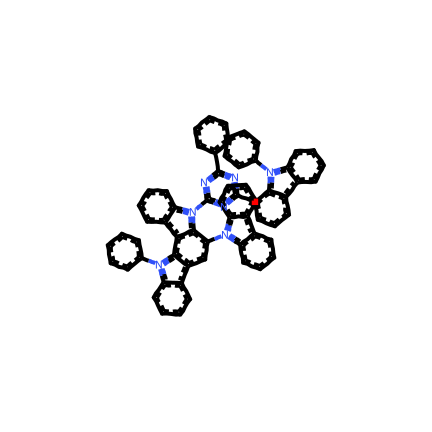 c1ccc(-c2nc(-c3cccc4c5ccccc5n(-c5ccccc5)c34)nc(-n3c4ccccc4c4c3c(-n3c5ccccc5c5ccccc53)cc3c5ccccc5n(-c5ccccc5)c34)n2)cc1